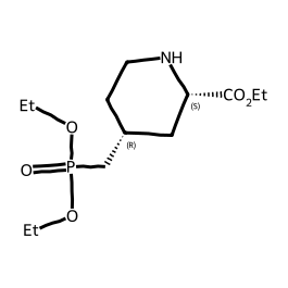 CCOC(=O)[C@@H]1C[C@H](CP(=O)(OCC)OCC)CCN1